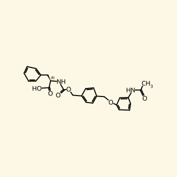 CC(=O)Nc1cccc(OCc2ccc(COC(=O)N[C@H](Cc3ccccc3)C(=O)O)cc2)c1